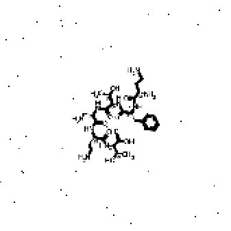 C[C@@H](O)[C@H](NC(=O)[C@H](CCN)NC(=O)[C@H](CN)NC(=O)[C@@H](NC(=O)[C@@H](Cc1ccccc1)NC(=O)[C@@H](N)CCN)[C@@H](C)O)C(=O)O